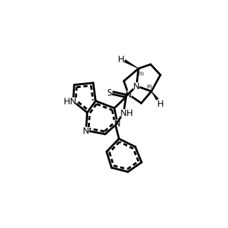 S=C(NCc1ccccc1)N1[C@@H]2CC[C@H]1CN(c1ncnc3[nH]ccc13)C2